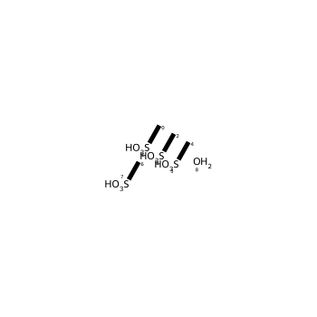 CS(=O)(=O)O.CS(=O)(=O)O.CS(=O)(=O)O.CS(=O)(=O)O.O